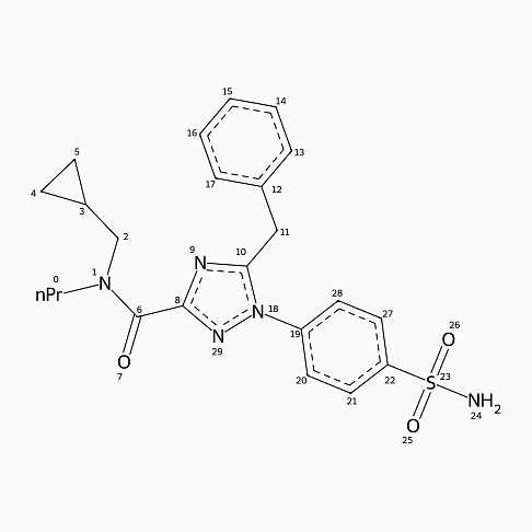 CCCN(CC1CC1)C(=O)c1nc(Cc2ccccc2)n(-c2ccc(S(N)(=O)=O)cc2)n1